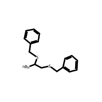 CCCCC(CSCc1ccccc1)SCc1ccccc1